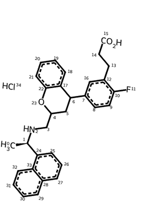 C[C@@H](NCC1CC(c2ccc(F)c(CCC(=O)O)c2)c2ccccc2O1)c1cccc2ccccc12.Cl